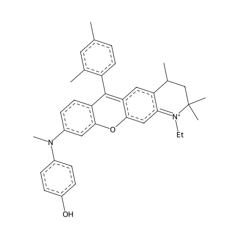 CC[N+]1=c2cc3c(cc2C(C)CC1(C)C)=C(c1ccc(C)cc1C)c1ccc(N(C)c2ccc(O)cc2)cc1O3